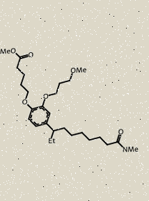 CCC(CCCCCCC(=O)NC)c1ccc(OCCCCC(=O)OC)c(OCCCOC)c1